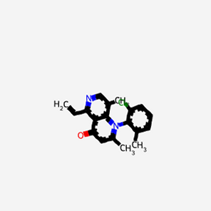 C=Cc1ncc(C)c2c1c(=O)cc(C)n2-c1c(C)cccc1Cl